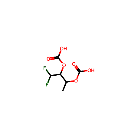 CC(OC(=O)O)C(OC(=O)O)C(F)F